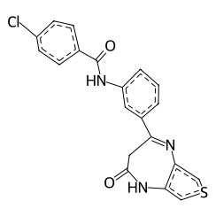 O=C1CC(c2cccc(NC(=O)c3ccc(Cl)cc3)c2)=Nc2cscc2N1